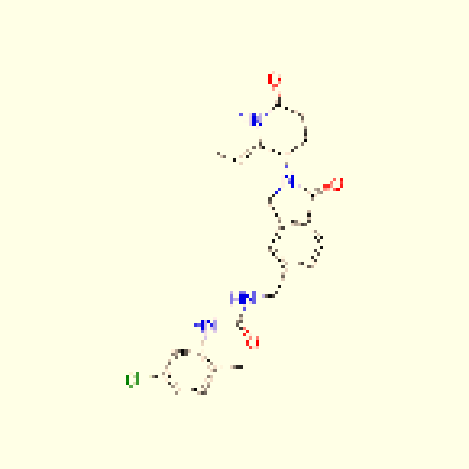 CC=C1NC(=O)CCC1N1Cc2cc(CNC(=O)Nc3cc(Cl)ccc3C)ccc2C1=O